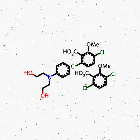 COc1c(Cl)ccc(Cl)c1C(=O)O.COc1c(Cl)ccc(Cl)c1C(=O)O.OCCN(CCO)c1ccccc1